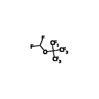 FC(F)OC(C(F)(F)F)(C(F)(F)F)C(F)(F)F